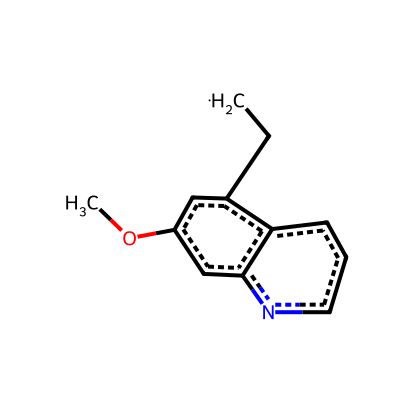 [CH2]Cc1cc(OC)cc2ncccc12